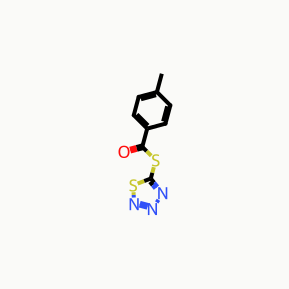 Cc1ccc(C(=O)Sc2nnns2)cc1